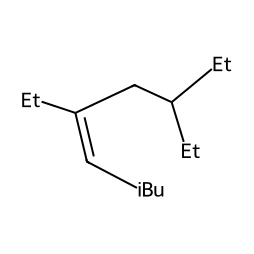 CCC(=CC(C)CC)CC(CC)CC